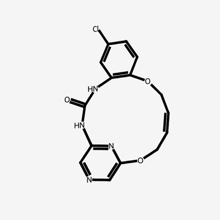 O=C1Nc2cncc(n2)OCC=CCOc2ccc(Cl)cc2N1